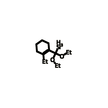 CCOC([SiH3])(OCC)C1=C(CC)CCCC1